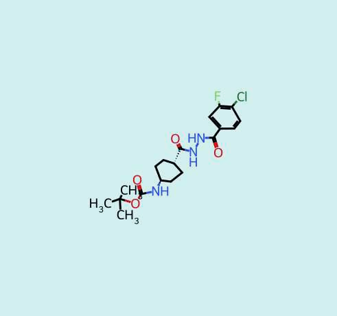 CC(C)(C)OC(=O)N[C@H]1CC[C@H](C(=O)NNC(=O)c2ccc(Cl)c(F)c2)CC1